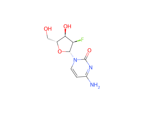 Nc1ccn([C@@H]2O[C@H](CO)[C@@H](O)[C@H]2F)c(=O)n1